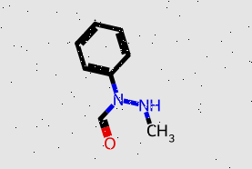 CNN(C=O)c1cc[c]cc1